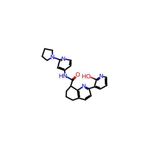 O=C(Nc1ccnc(N2CCCC2)c1)C1CCCc2ccc(-c3cccnc3O)nc21